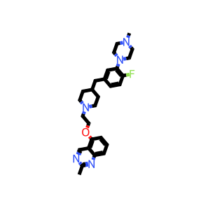 Cc1ncc2c(OCCN3CCC(Cc4ccc(F)c(N5CCN(C)CC5)c4)CC3)cccc2n1